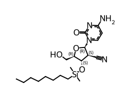 CCCCCCCC[Si](C)(C)O[C@H]1[C@H](C#N)[C@H](n2ccc(N)nc2=O)O[C@@H]1CO